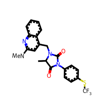 CNc1cc(CN2C(=O)N(c3ccc(SC(F)(F)F)cc3)C(=O)C2C)c2ccccc2n1